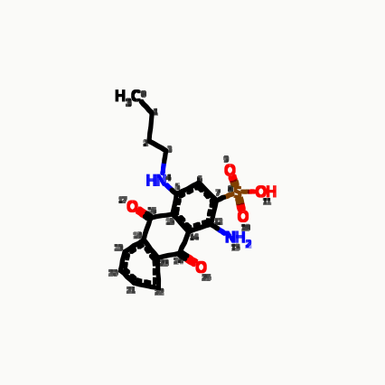 CCCCNc1cc(S(=O)(=O)O)c(N)c2c1C(=O)c1ccccc1C2=O